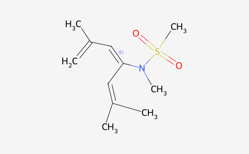 C=C(C)/C=C(\C=C(C)C)N(C)S(C)(=O)=O